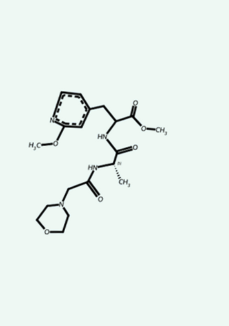 COC(=O)C(Cc1ccnc(OC)c1)NC(=O)[C@H](C)NC(=O)CN1CCOCC1